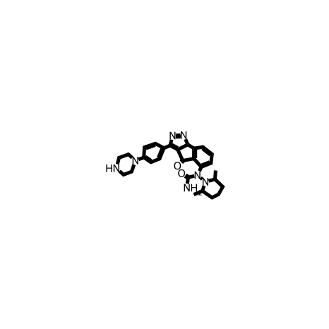 CC1CCCC(C)N1N(C(N)=O)c1cccc2c1C(=O)C1=C(c3ccc(N4CCNCC4)cc3)N=NC12